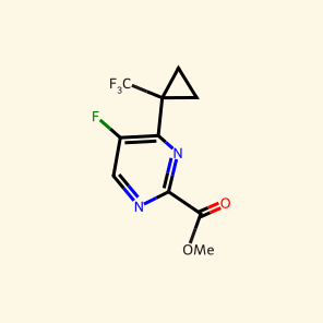 COC(=O)c1ncc(F)c(C2(C(F)(F)F)CC2)n1